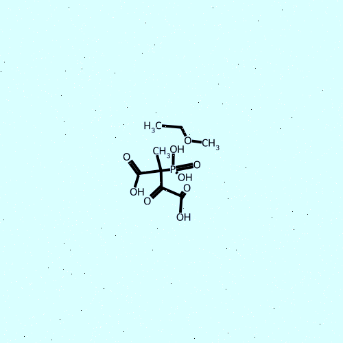 CC(C(=O)O)(C(=O)C(=O)O)P(=O)(O)O.CCOC